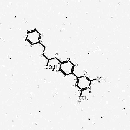 O=C(O)C(CCc1ccccc1)Sc1ccc(-c2nc(C(Cl)(Cl)Cl)nc(C(Cl)(Cl)Cl)n2)cc1